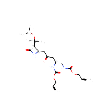 C=CCOC(=O)NC[C@@H](CC(=O)C[C@H]1NC(=O)[C@@H]1[C@@](C)(O[SiH](C)C)C(C)(C)C)NC(=O)OCC=C